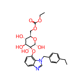 CCOC(=O)OC[C@H]1O[C@H](O)[C@@](O)(Oc2cccc3ncn(Cc4ccc(CC)cc4)c23)[C@@H](O)[C@@H]1O